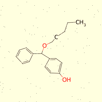 CCCCCOC(c1ccccc1)c1ccc(O)cc1